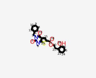 Cn1c(=O)n(Cc2ccccc2)c(=O)c2cc(C(=O)OCCc3ccccc3O)sc21